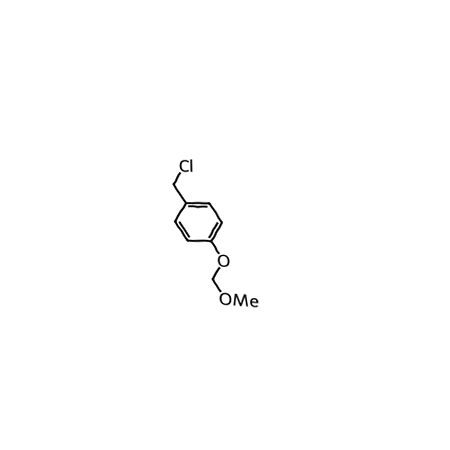 COCOc1ccc(CCl)cc1